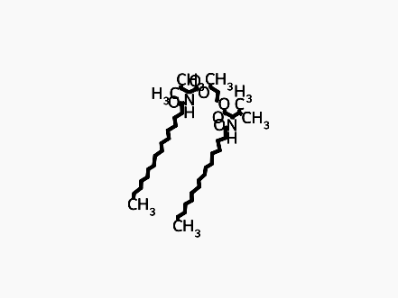 CCCCCCCCCCCCCCCC(=O)NC(C(=O)OCCC(C)OC(=O)C(NC(=O)CCCCCCCCCCCCCCC)C(C)C)C(C)C